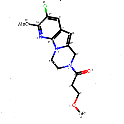 CCCOCCC(=O)N1CCn2c(cc3cc(Cl)c(OC)nc32)C1